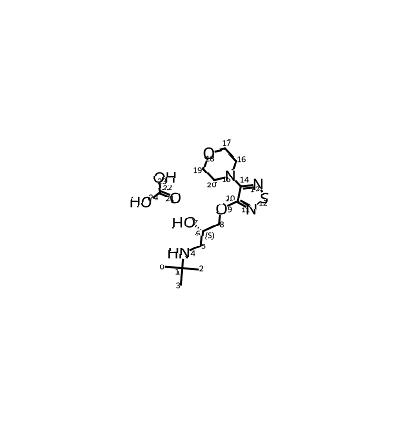 CC(C)(C)NC[C@H](O)COc1nsnc1N1CCOCC1.O=C(O)O